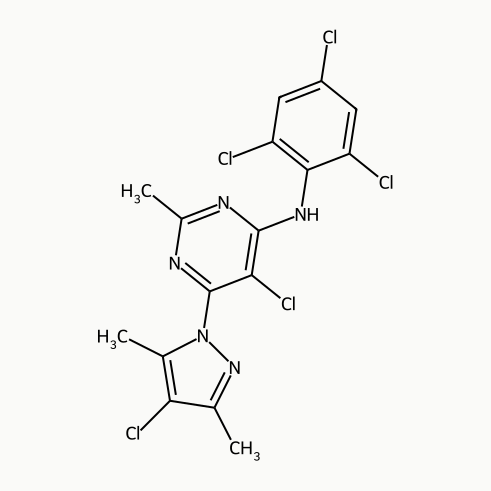 Cc1nc(Nc2c(Cl)cc(Cl)cc2Cl)c(Cl)c(-n2nc(C)c(Cl)c2C)n1